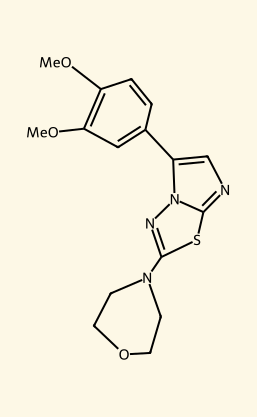 COc1ccc(-c2cnc3sc(N4CCOCC4)nn23)cc1OC